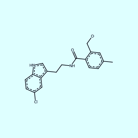 Cc1ccc(C(=O)NCCc2c[nH]c3ccc(Cl)cc23)c(C[O])c1